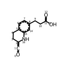 O=C=C1CCc2ccc(CCC(=O)O)cc2N1